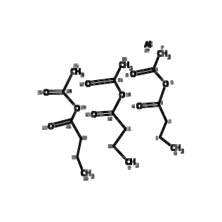 CCCC(=O)OC(C)=O.CCCC(=O)OC(C)=O.CCCC(=O)OC(C)=O.[Al]